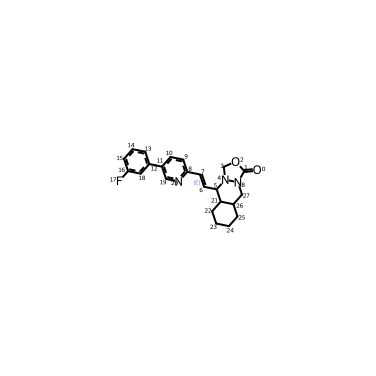 O=C1OCN2C(/C=C/c3ccc(-c4cccc(F)c4)cn3)C3CCCCC3CN12